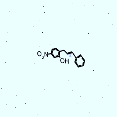 O=[N+]([O-])c1ccc(C/C=C/c2ccccc2)c(O)c1